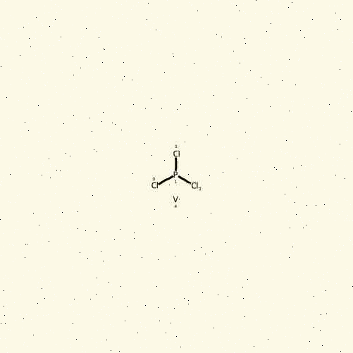 ClP(Cl)Cl.[V]